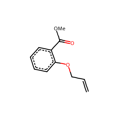 C=CCOc1ccccc1C(=O)OC